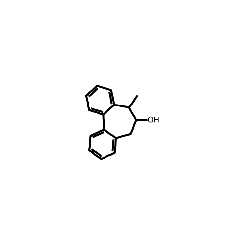 CC1c2ccccc2-c2ccccc2CC1O